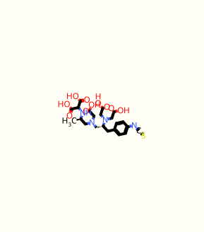 C[C@H](CN(CC(=O)O)C[C@@H](Cc1ccc(N=C=S)cc1)N(CC(=O)O)CC(=O)O)NC(C(=O)O)C(=O)O